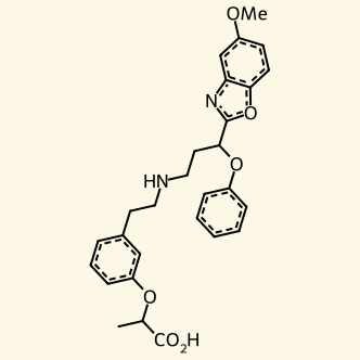 COc1ccc2oc(C(CCNCCc3cccc(OC(C)C(=O)O)c3)Oc3ccccc3)nc2c1